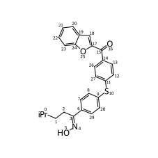 CC(C)CC/C(=N\O)c1ccc(Sc2ccc(C(=O)c3cc4ccccc4o3)cc2)cc1